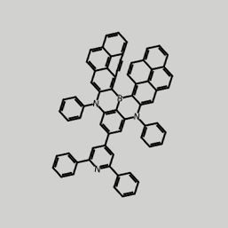 c1ccc(-c2cc(-c3cc4c5c(c3)N(c3ccccc3)c3cc6ccc7cccc8ccc(c3B5c3c(cc5ccc9cccc%10ccc3c5c9%10)N4c3ccccc3)c6c78)cc(-c3ccccc3)n2)cc1